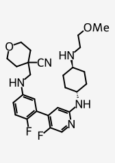 COCCN[C@H]1CC[C@H](Nc2cc(-c3cc(NCC4(C#N)CCOCC4)ccc3F)c(F)cn2)CC1